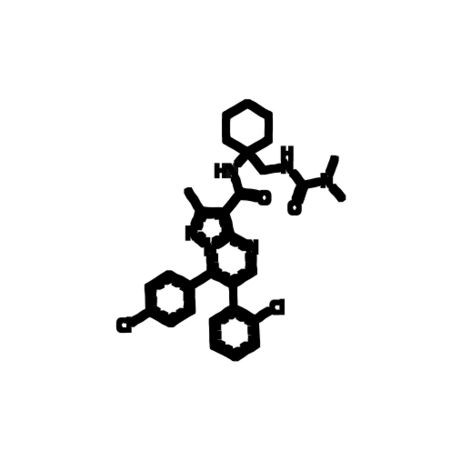 Cc1nn2c(-c3ccc(Cl)cc3)c(-c3ccccc3Cl)cnc2c1C(=O)NC1(CNC(=O)N(C)C)CCCCC1